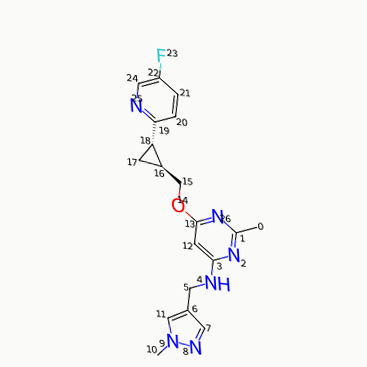 Cc1nc(NCc2cnn(C)c2)cc(OC[C@H]2C[C@@H]2c2ccc(F)cn2)n1